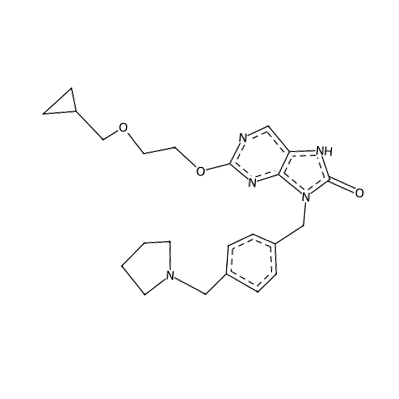 O=c1[nH]c2cnc(OCCOCC3CC3)nc2n1Cc1ccc(CN2CCCC2)cc1